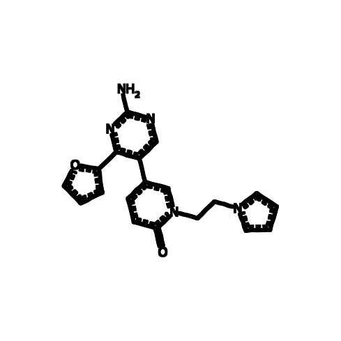 Nc1ncc(-c2ccc(=O)n(CCn3cccc3)c2)c(-c2ccco2)n1